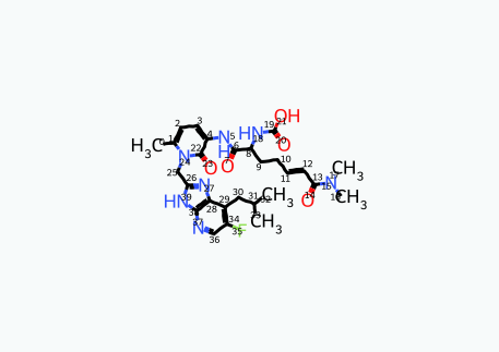 Cc1ccc(NC(=O)C(CCC=CC(=O)N(C)C)NC(=O)O)c(=O)n1Cc1nc2c(CC(C)C)c(F)cnc2[nH]1